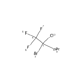 CCCC(Cl)(Br)C(F)(F)F